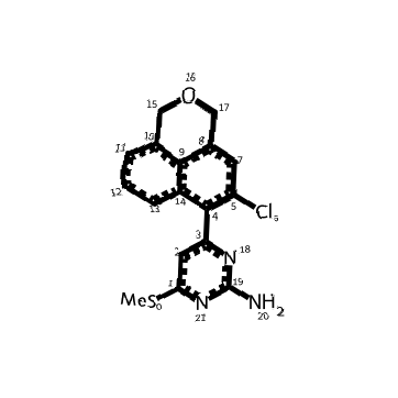 CSc1cc(-c2c(Cl)cc3c4c(cccc24)COC3)nc(N)n1